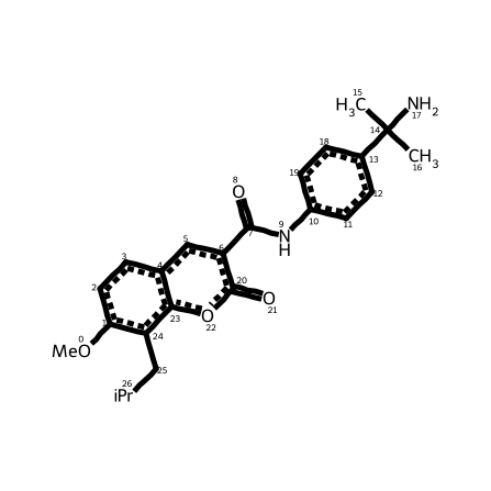 COc1ccc2cc(C(=O)Nc3ccc(C(C)(C)N)cc3)c(=O)oc2c1CC(C)C